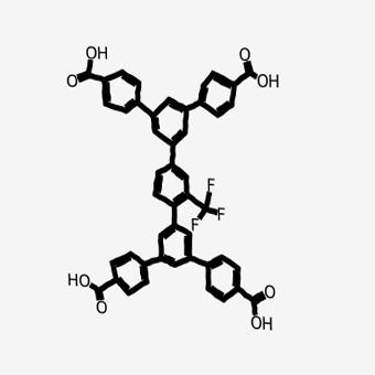 O=C(O)c1ccc(-c2cc(-c3ccc(C(=O)O)cc3)cc(-c3ccc(-c4cc(-c5ccc(C(=O)O)cc5)cc(-c5ccc(C(=O)O)cc5)c4)c(C(F)(F)F)c3)c2)cc1